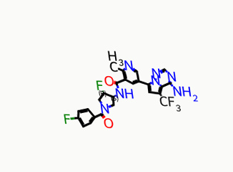 Cc1ncc(-c2cc(C(F)(F)F)c3c(N)ncnn23)cc1C(=O)N[C@H]1CN(C(=O)c2ccc(F)cc2)C[C@H]1F